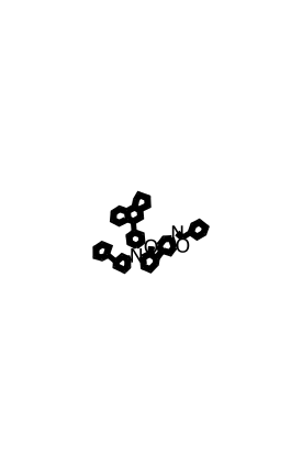 c1ccc(-c2cccc(N(c3ccc(-c4cc5ccccc5c5ccccc45)cc3)c3cccc4c3oc3cc5nc(-c6ccccc6)oc5cc34)c2)cc1